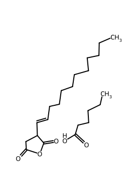 CCCCCC(=O)O.CCCCCCCCCCC=CC1CC(=O)OC1=O